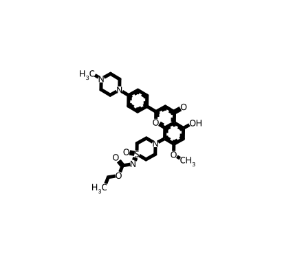 CCOC(=O)N=S1(=O)CCN(c2c(OC)cc(O)c3c(=O)cc(-c4ccc(N5CCN(C)CC5)cc4)oc23)CC1